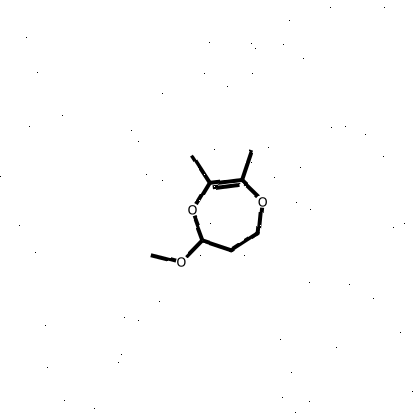 COC1CCOC(C)=C(C)O1